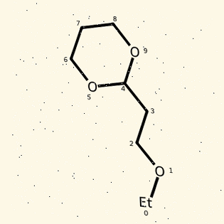 CCOCCC1OCCCO1